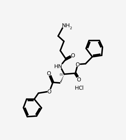 Cl.NCCCC(=O)N[C@@H](CC(=O)OCc1ccccc1)C(=O)OCc1ccccc1